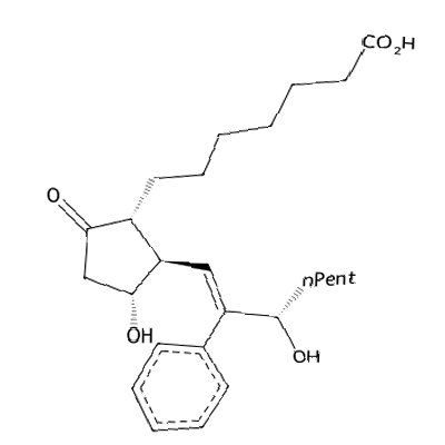 CCCCC[C@H](O)/C(=C/[C@H]1[C@H](O)CC(=O)[C@@H]1CCCCCCC(=O)O)c1ccccc1